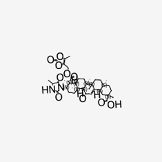 Cc1oc(=O)oc1COC(=O)[C@]1(C)[C@@H](N2C(=O)NC(C)C2=O)CC[C@@]2(C)[C@H]1CC[C@]1(C)[C@@H]2C(=O)C=C2[C@@H]3C[C@@](C)(C(=O)O)CC[C@]3(C)CC[C@]21C